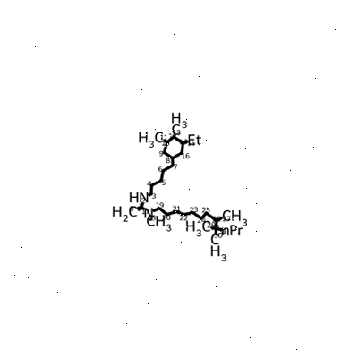 C=C(NCCCCCC1CC(C)C(C)C(CC)C1)N(C)CCCCCCCC(C)C(C)(C)CCC